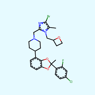 Cc1c(Br)nc(CN2CCC(c3cccc4c3OC(C)(c3ccc(Cl)cc3F)O4)CC2)n1CC1CCO1